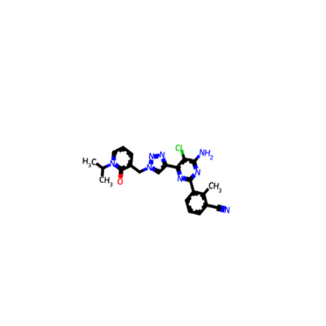 Cc1c(C#N)cccc1-c1nc(N)c(Cl)c(-c2cn(Cc3cccn(C(C)C)c3=O)nn2)n1